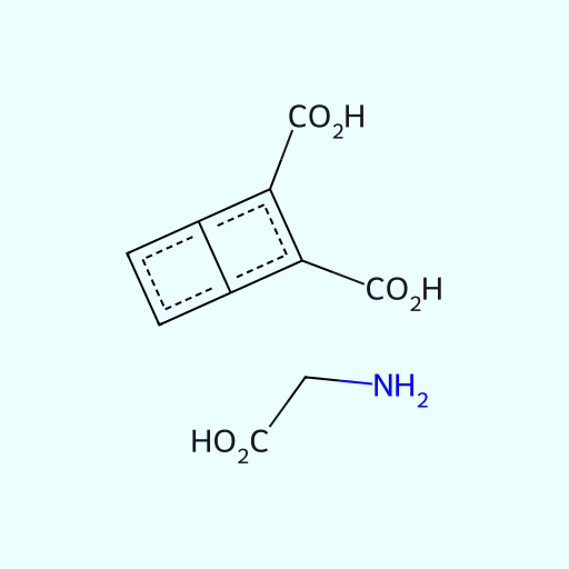 NCC(=O)O.O=C(O)c1c2ccc-2c1C(=O)O